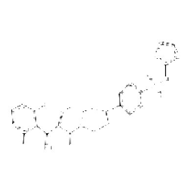 C/C=C(/C(=N)c1c(F)cccc1Cl)C(=O)N1CCC(c2ccc(S(=O)(=O)Nc3nccs3)cc2)CC1